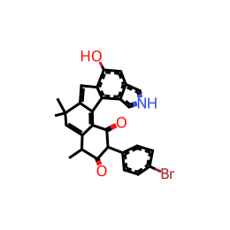 CC1C(=O)C(c2ccc(Br)cc2)C(=O)C2=C3C(=Cc4c(O)cc5c[nH]cc5c43)C(C)(C)C=C21